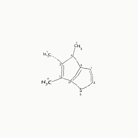 CC1=C(C)C(C)c2ccsc21